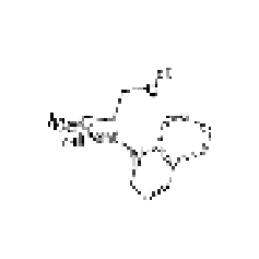 CCCCCN1CC=Cc2ccccc21.CCOCCOC